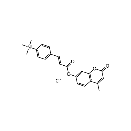 Cc1cc(=O)oc2cc(OC(=O)C=Cc3ccc([N+](C)(C)C)cc3)ccc12.[Cl-]